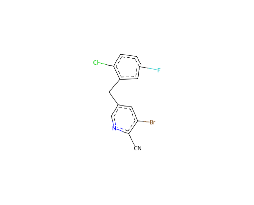 N#Cc1ncc(Cc2cc(F)ccc2Cl)cc1Br